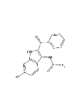 O=C(c1ccccc1)c1[nH]c2cc(Cl)ccc2c1NC(=O)C(F)(F)F